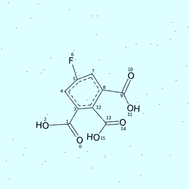 O=C(O)c1cc(F)cc(C(=O)O)c1C(=O)O